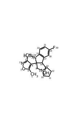 Cc1noc(C)c1C1(CN2CCCC2)C(CO)c2cc(F)ccc2N1C